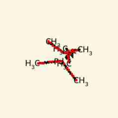 CCCCCCCCCCCCCCCCC#CC1=C(c2cccc(CCCC)c2)[N+](=[N-])C(c2ccc(CCCCC)cc2)=C1CCCC.CCCCCCCCCCCCCCCCCC=[CH][Pd][CH]=CCCCCCCCCCCCCCCCCC